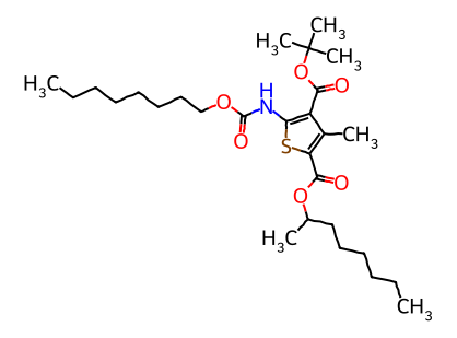 CCCCCCCCOC(=O)Nc1sc(C(=O)OC(C)CCCCCC)c(C)c1C(=O)OC(C)(C)C